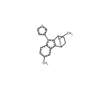 Cc1ccc2c(c1)c1c(n2-c2ccsc2)C2CCC1CN2C